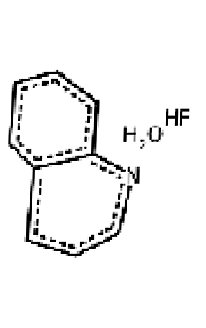 F.O.c1ccc2ncccc2c1